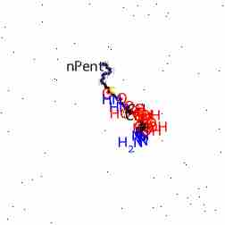 CCCCC/C=C\C/C=C\C/C=C\C/C=C\CCCC(=O)SCCNC(=O)CCNC(=O)[C@H](O)C(C)(C)COP(=O)(O)OP(=O)(O)OC[C@H]1O[C@@H](n2cnc3c(N)ncnc32)[C@H](O)[C@@H]1OP(=O)(O)O